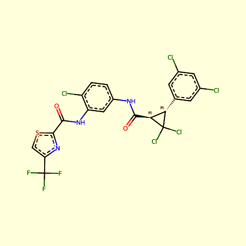 O=C(Nc1cc(NC(=O)[C@H]2[C@H](c3cc(Cl)cc(Cl)c3)C2(Cl)Cl)ccc1Cl)c1nc(C(F)(F)F)cs1